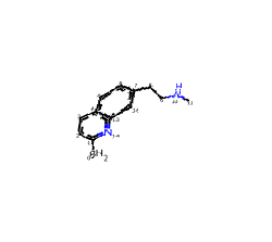 Bc1ccc2ccc(CCNC)cc2n1